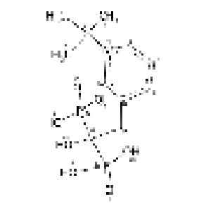 CC(C)(C)[n+]1cccc(CC(O)(P(=O)(O)O)P(=O)(O)O)c1